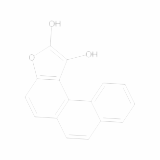 Oc1oc2ccc3ccc4ccccc4c3c2c1O